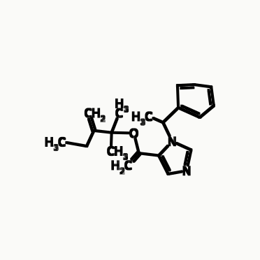 C=C(OC(C)(C)C(=C)CC)c1cncn1C(C)c1ccccc1